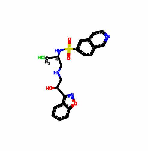 C[C@H](CNCC(O)c1noc2ccccc12)NS(=O)(=O)c1ccc2cnccc2c1.Cl